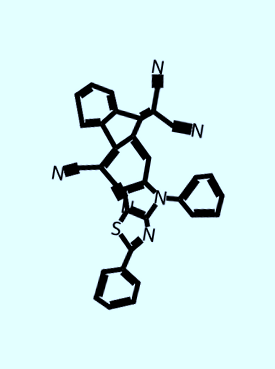 N#CC(C#N)=C1C(=Cc2cc3sc(-c4ccccc4)nc3n2-c2ccccc2)C(=C(C#N)C#N)c2ccccc21